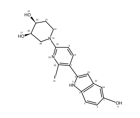 Oc1ccc2[nH]c(-c3ccc(N4CC[C@H](O)[C@H](O)C4)nc3F)cc2c1